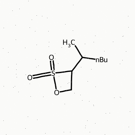 CCCCC(C)C1COS1(=O)=O